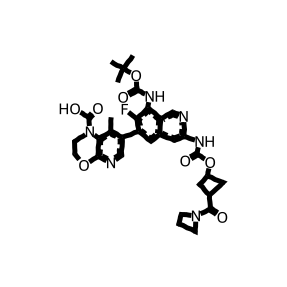 Cc1c(-c2cc3cc(NC(=O)OC4CC(C(=O)N5CCC5)C4)ncc3c(NC(=O)OC(C)(C)C)c2F)cnc2c1N(C(=O)O)CCO2